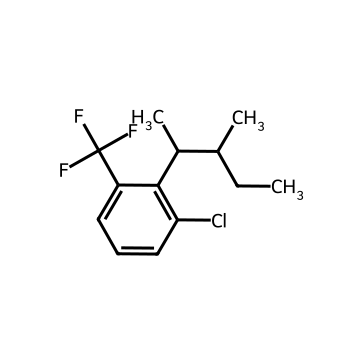 CCC(C)C(C)c1c(Cl)cccc1C(F)(F)F